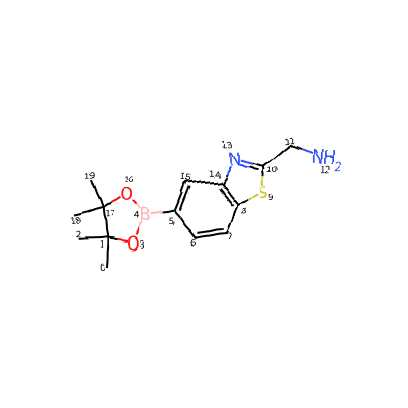 CC1(C)OB(c2ccc3sc(CN)nc3c2)OC1(C)C